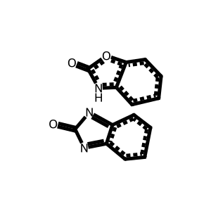 O=C1N=c2ccccc2=N1.O=c1[nH]c2ccccc2o1